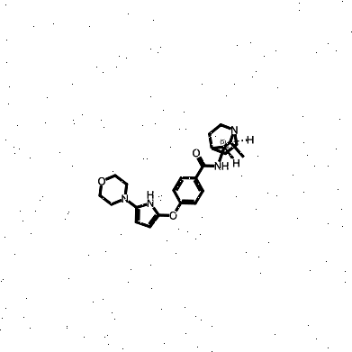 C[C@H]1[C@H](NC(=O)c2ccc(Oc3ccc(N4CCOCC4)[nH]3)cc2)C2CCN1CC2